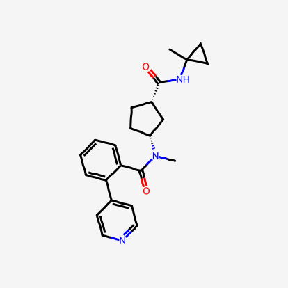 CN(C(=O)c1ccccc1-c1ccncc1)[C@@H]1CC[C@H](C(=O)NC2(C)CC2)C1